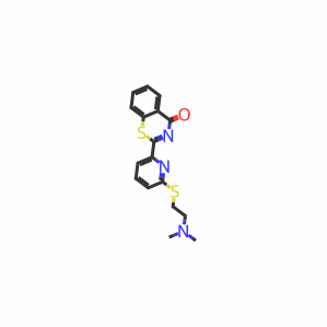 CN(C)CCSc1cccc(-c2nc(=O)c3ccccc3s2)n1